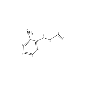 C=CCSc1ccccc1N